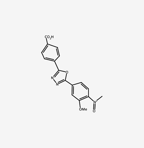 COc1cc(-c2nnc(-c3ccc(C(=O)O)cc3)o2)ccc1[N+](C)=O